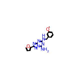 COc1cccc(CNc2nc(N)n3nc(-c4ccco4)nc3n2)c1